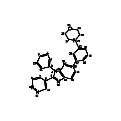 [c]1ccc(-n2c(-c3ccnnc3)nc3ccc(-c4cccc(N5CCOCC5)c4)nc32)cc1